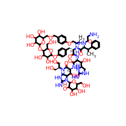 CCCOc1ccc(COCC2OC(OC3C(CO)OC(Oc4ccc(C[C@H](NC(=O)[C@@H](NC(=O)CN)C(C)c5ccccc5)C(=O)N[C@H](C(=O)N[C@H](C(=O)N[C@H]([C]=O)CO)C(O)C5CNC(=N)N5C5OC(CO)C(O)C(O)C5O)C(O)C5CNC(=N)N5)cc4)C(O)C3O)C(O)C(O)C2O)cc1